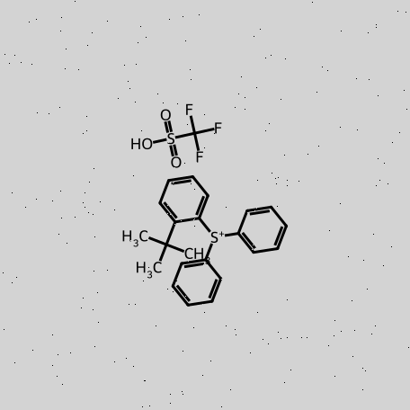 CC(C)(C)c1ccccc1[S+](c1ccccc1)c1ccccc1.O=S(=O)(O)C(F)(F)F